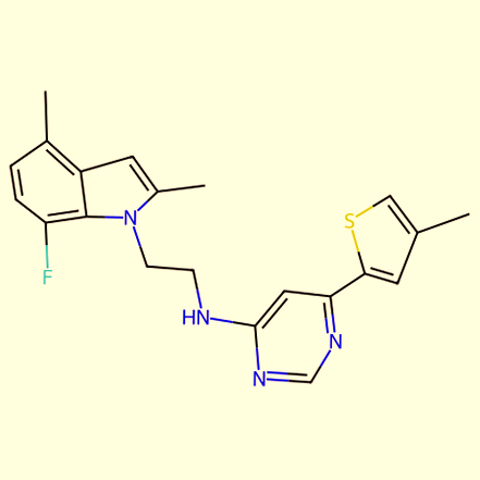 Cc1csc(-c2cc(NCCn3c(C)cc4c(C)ccc(F)c43)ncn2)c1